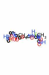 Cc1c(OCCCC2CCN(CC(=O)Nc3ccc4c(C5CCC(=O)NC5=O)nn(C)c4c3F)CC2)cccc1-c1ccc(N2CCc3cccc(C(=O)Nc4nc5ccccc5s4)c3C2)nc1C(=O)O